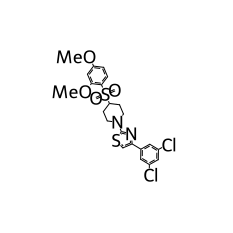 COc1ccc(S(=O)(=O)C2CCN(c3nc(-c4cc(Cl)cc(Cl)c4)cs3)CC2)c(OC)c1